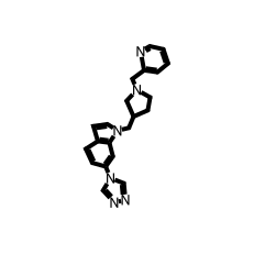 c1ccc(CN2CCC(Cn3ccc4ccc(-n5cnnc5)cc43)C2)nc1